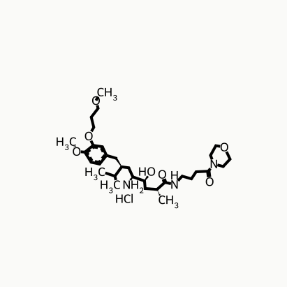 COCCCOc1cc(C[C@@H](C[C@H](N)[C@@H](O)C[C@@H](C)C(=O)NCCCC(=O)N2CCOCC2)C(C)C)ccc1OC.Cl